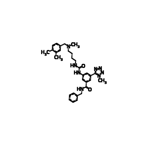 Cc1ccc(CN(C)CCCCNC(=O)Nc2cc(C(=O)NCc3ccccc3)cc(-c3nnnn3C)c2)cc1C